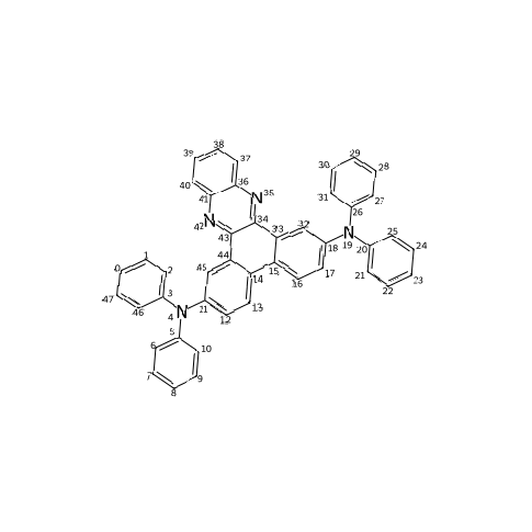 c1ccc(N(c2ccccc2)c2ccc3c4ccc(N(c5ccccc5)c5ccccc5)cc4c4nc5ccccc5nc4c3c2)cc1